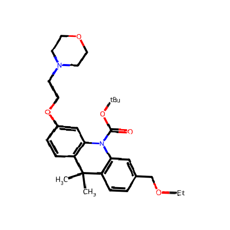 CCOCc1ccc2c(c1)N(C(=O)OC(C)(C)C)c1cc(OCCN3CCOCC3)ccc1C2(C)C